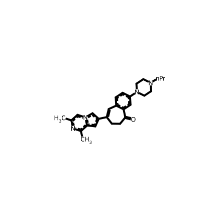 CCCN1CCN(c2ccc3c(c2)C(=O)CCC(c2cc4c(C)nc(C)cn4c2)=C3)CC1